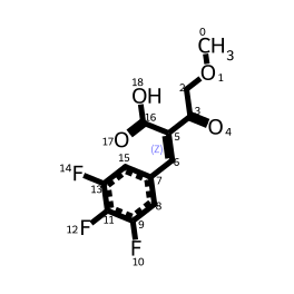 COCC(=O)/C(=C/c1cc(F)c(F)c(F)c1)C(=O)O